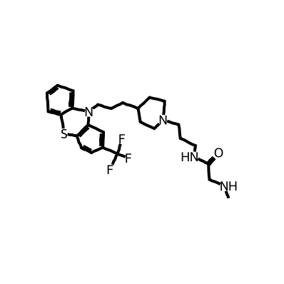 CNCC(=O)NCCCN1CCC(CCCN2c3ccccc3Sc3ccc(C(F)(F)F)cc32)CC1